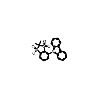 CC1(C)S(=O)(=O)c2cccc(-n3c4ccccc4c4ccccc43)c2S1(=O)=O